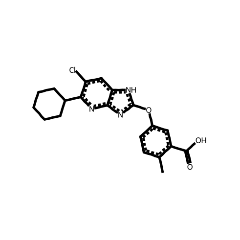 Cc1ccc(Oc2nc3nc(C4CCCCC4)c(Cl)cc3[nH]2)cc1C(=O)O